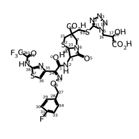 O=C(NC1C(=O)N2CC(CSc3nnnn3CC(O)C(=O)O)(C(=O)O)CS[C@H]12)C(=NOCc1ccc(F)cc1)c1csc(NC(=O)C(F)(F)F)n1